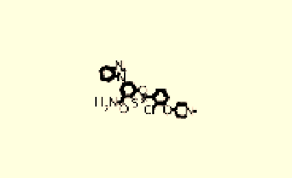 C[C@@H](OC1C=C(n2cnc3ccccc32)C=C(C(N)=O)C1=S)c1cccc(OC2CCN(C)CC2)c1Cl